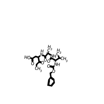 CCC(=O)C(CC(=O)O)NC(=O)[C@H](C)NC(=O)[C@@H](NC(=O)OCc1ccccc1)C(C)C